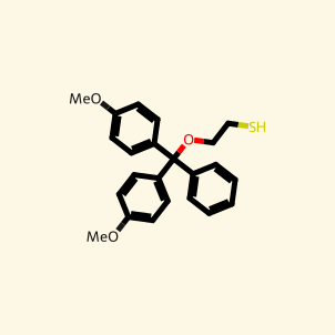 COc1ccc(C(OCCS)(c2ccccc2)c2ccc(OC)cc2)cc1